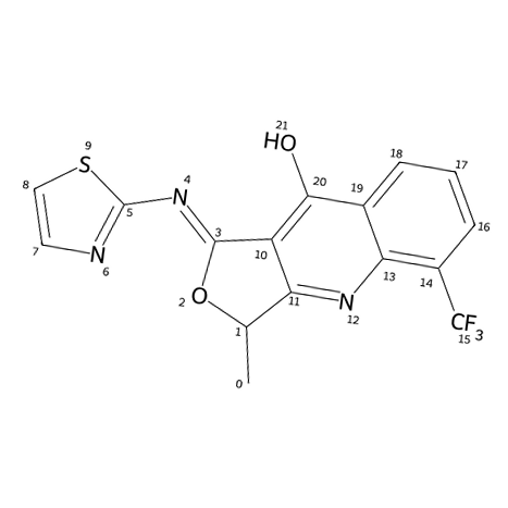 CC1OC(=Nc2nccs2)c2c1nc1c(C(F)(F)F)cccc1c2O